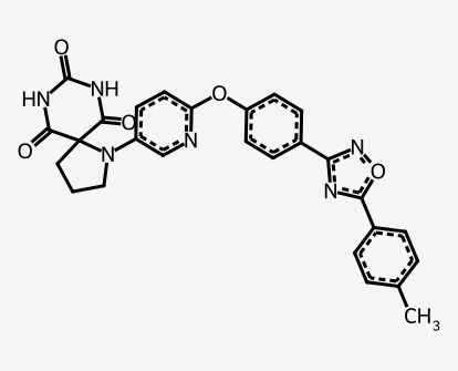 Cc1ccc(-c2nc(-c3ccc(Oc4ccc(N5CCCC56C(=O)NC(=O)NC6=O)cn4)cc3)no2)cc1